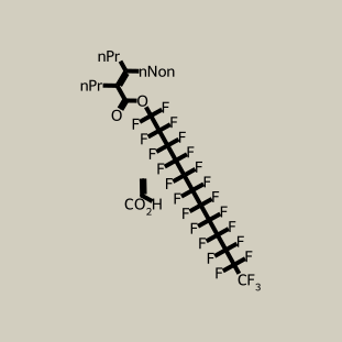 C=CC(=O)O.CCCCCCCCCC(CCC)=C(CCC)C(=O)OC(F)(F)C(F)(F)C(F)(F)C(F)(F)C(F)(F)C(F)(F)C(F)(F)C(F)(F)C(F)(F)C(F)(F)C(F)(F)C(F)(F)F